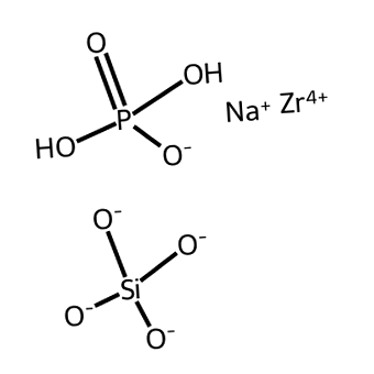 O=P([O-])(O)O.[Na+].[O-][Si]([O-])([O-])[O-].[Zr+4]